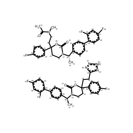 CC(=O)N(C)CCC1(c2ccc(F)cc2)CCN([C@@H](C)c2ccc(-c3ccc(F)cc3F)cc2)C(=O)O1.C[C@@H](c1ccc(-c2ccc(F)cc2F)cc1)N1CCC(CCc2nn[nH]n2)(c2ccc(F)cc2)OC1=O